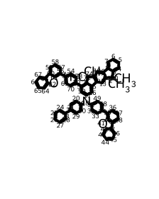 CC1(C)c2ccccc2-c2cc3c(cc21)-c1cc(N(c2ccc(-c4ccccc4)cc2)c2ccc(-c4cccc5c4oc4ccccc45)cc2)cc(-c2ccc(-c4cccc5c4oc4ccccc45)cc2)c1C3(C)C